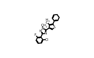 Cc1c(-c2nc(-c3c(F)cccc3Cl)nn2C)csc1C1=CCCC=C1